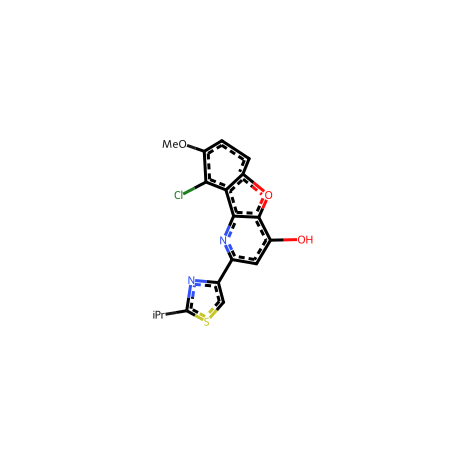 COc1ccc2oc3c(O)cc(-c4csc(C(C)C)n4)nc3c2c1Cl